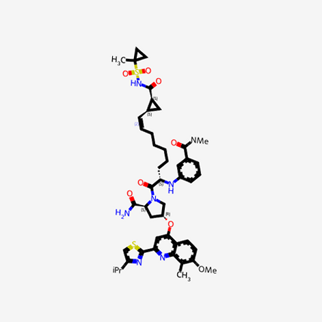 CNC(=O)c1cccc(N[C@@H](CCCCC/C=C\[C@@H]2C[C@@H]2C(=O)NS(=O)(=O)C2(C)CC2)C(=O)N2C[C@H](Oc3cc(-c4nc(C(C)C)cs4)nc4c(C)c(OC)ccc34)C[C@H]2C(N)=O)c1